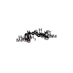 COC(=O)NC(C(=O)N1[C@@H](C)CC[C@H]1c1ncc(-c2ccc3c(c2)COc2cc4c(ccc5nc(CN(C(=O)[C@@H](NC(=O)OC)C(C)C)[C@@H](C)CC(C)C)[nH]c54)cc2-3)[nH]1)C1(C)CCOCC1